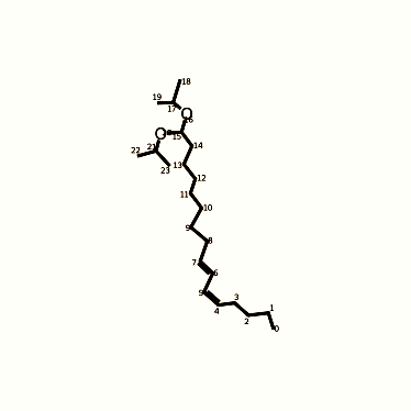 CCCC/C=C\C=C\CCCCCCCC(OC(C)C)OC(C)C